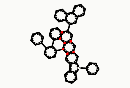 c1ccc(-c2ccccc2-c2c(-c3ccccc3)cccc2N(c2ccc(-c3cc4ccccc4c4ccccc34)cc2)c2ccc3c(c2)c2ccccc2n3-c2ccccc2)cc1